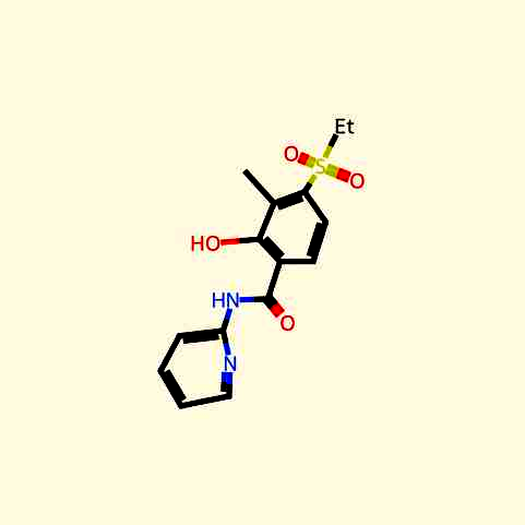 CCS(=O)(=O)c1ccc(C(=O)Nc2ccccn2)c(O)c1C